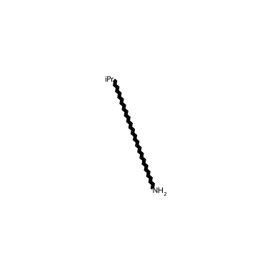 CC(C)CCCCCCCCCCCCCCCCCCCCCCCCCCCCCCCCCCCCN